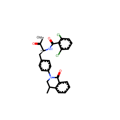 COC(=O)[C@H](Cc1ccc(N2CC(C)c3ccccc3C2=O)cc1)NC(=O)c1c(Cl)cccc1Cl